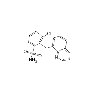 NS(=O)(=O)c1cccc(Cl)c1Cc1cccc2cccnc12